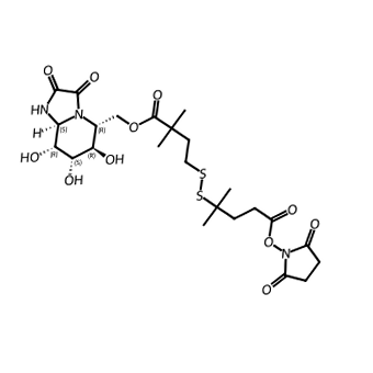 CC(C)(CCC(=O)ON1C(=O)CCC1=O)SSCCC(C)(C)C(=O)OC[C@@H]1[C@@H](O)[C@H](O)[C@H](O)[C@H]2NC(=O)C(=O)N12